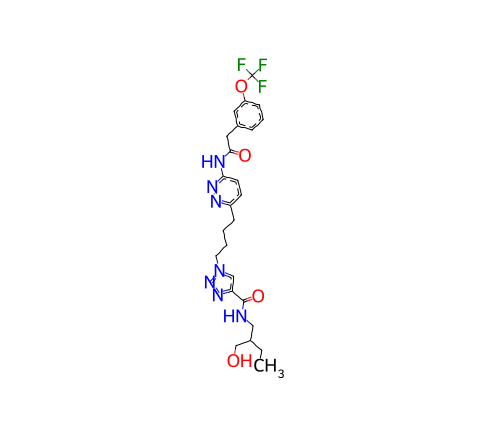 CCC(CO)CNC(=O)c1cn(CCCCc2ccc(NC(=O)Cc3cccc(OC(F)(F)F)c3)nn2)nn1